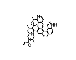 C=CC(=O)N1CC2CN(C)c3c(c4cc(F)c(-c5c(C)ccc6[nH]ncc56)c(F)c4n(-c4c(C)ccnc4C(C)C)c3=O)N2CC1C